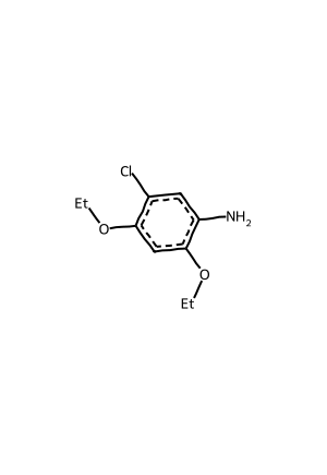 CCOc1cc(OCC)c(Cl)cc1N